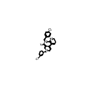 [2H]C1=C2CN(Cc3cccc(Cl)c3)CC=C2c2cccnc2N1Cc1ccc(Cl)cc1